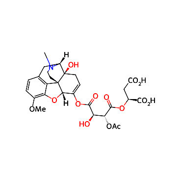 COc1ccc2c3c1O[C@H]1C(OC(=O)[C@H](O)[C@@H](OC(C)=O)C(=O)O[C@@H](CC(=O)O)C(=O)O)=CC[C@@]4(O)[C@@H](C2)N(C)CC[C@]314